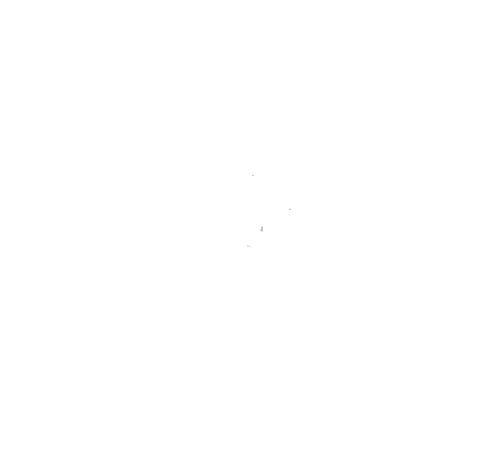 CCCCC1=C(P(=O)(O)O)N[C@H](C(=O)OCC)CS1